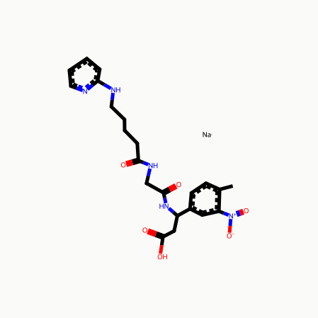 Cc1ccc(C(CC(=O)O)NC(=O)CNC(=O)CCCCNc2ccccn2)cc1[N+](=O)[O-].[Na]